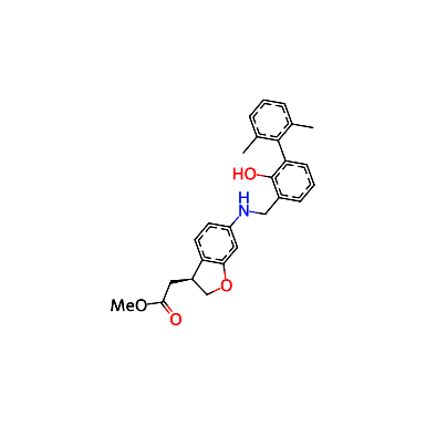 COC(=O)C[C@@H]1COc2cc(NCc3cccc(-c4c(C)cccc4C)c3O)ccc21